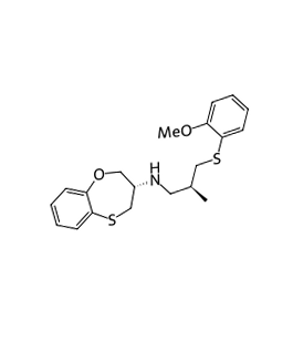 COc1ccccc1SC[C@@H](C)CN[C@H]1COc2ccccc2SC1